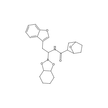 O=C(NC(Cc1coc2ccccc12)B1OC2CCCCC2O1)C1CC2CCC1O2